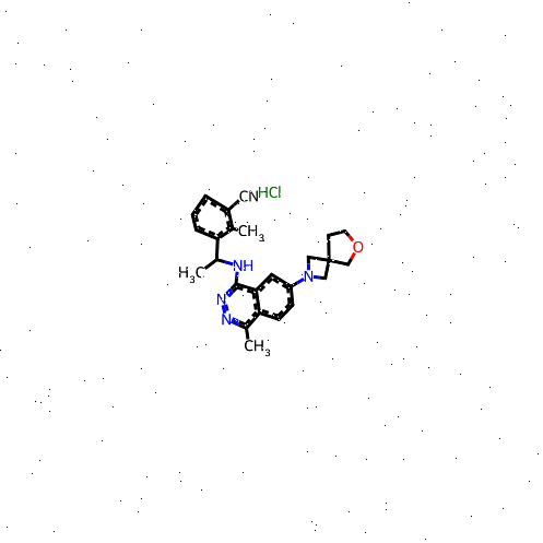 Cc1c(C#N)cccc1C(C)Nc1nnc(C)c2ccc(N3CC4(CCOC4)C3)cc12.Cl